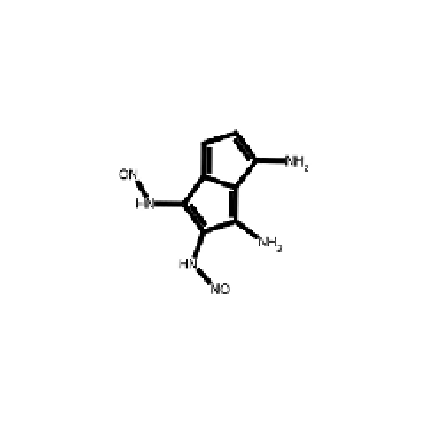 NC1=CC=C2C(NN=O)=C(NN=O)C(N)=C12